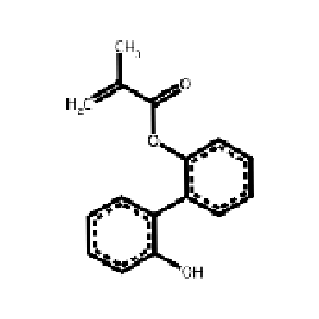 C=C(C)C(=O)Oc1ccccc1-c1ccccc1O